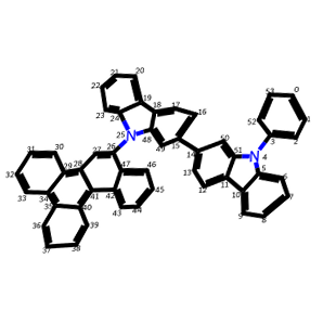 c1ccc(-n2c3ccccc3c3ccc(-c4ccc5c6ccccc6n(-c6cc7c8ccccc8c8ccccc8c7c7ccccc67)c5c4)cc32)cc1